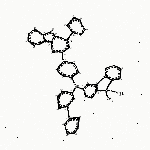 CC1(C)c2ccccc2-c2cc(N(c3ccc(-c4cc(-c5ccccc5)c5oc6ccccc6c5c4)cc3)c3cccc(-c4ccccc4)c3)ccc21